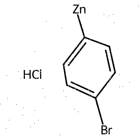 Cl.[Zn][c]1ccc(Br)cc1